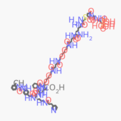 Cc1ccccc1NC(=O)Nc1ccc(CC(=O)N[C@@H](CCCCNC(=O)CCc2cccnc2)C(=O)N[C@@H](CCCC(=O)O)C(=O)NC2(C(=O)NCCOCCOCCNC(=O)CCC(=O)NCCOCCOCCNC(=O)CCC(=O)N[C@@H](CCCCNC(=O)[C@H](N)CSC3CC(=O)N(CC(=O)NCCCC(O)(P(=O)(O)O)P(=O)(O)O)C3=O)C(N)=O)CCCCC2)cc1